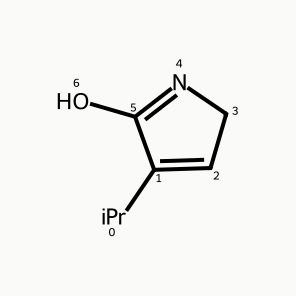 CC(C)C1=CCN=C1O